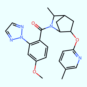 COc1ccc(C(=O)N2C(C)C3CC(Oc4ccc(C)cn4)C2C3)c(-n2nccn2)c1